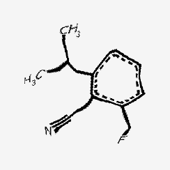 CC(C)c1cccc(F)c1C#N